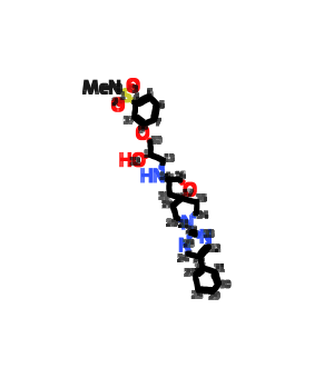 CNS(=O)(=O)c1cccc(OC[C@@H](O)CNC2COC3(CCN(c4ncc(-c5ccccc5)cn4)CC3)C2)c1